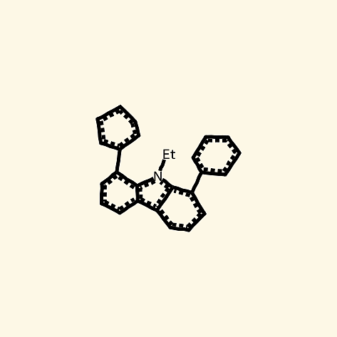 CCn1c2c(-c3ccccc3)cccc2c2cccc(-c3ccccc3)c21